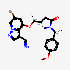 COc1ccc([C@@H](C)N2C[C@H]([C@@H](C)Oc3cc(Br)cn4ncc(C=N)c34)CC2=O)cc1